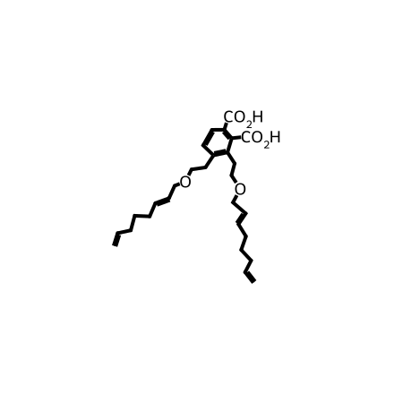 C=CCCCC=CCOCCc1ccc(C(=O)O)c(C(=O)O)c1CCOCC=CCCCC=C